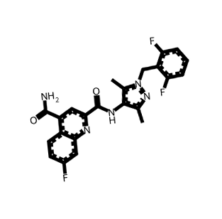 Cc1nn(Cc2c(F)cccc2F)c(C)c1NC(=O)c1cc(C(N)=O)c2ccc(F)cc2n1